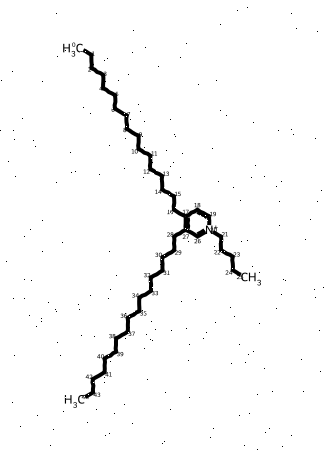 CCCCCCCCCCCCCCCCCc1cc[n+](CCCCC)cc1CCCCCCCCCCCCCCCCC